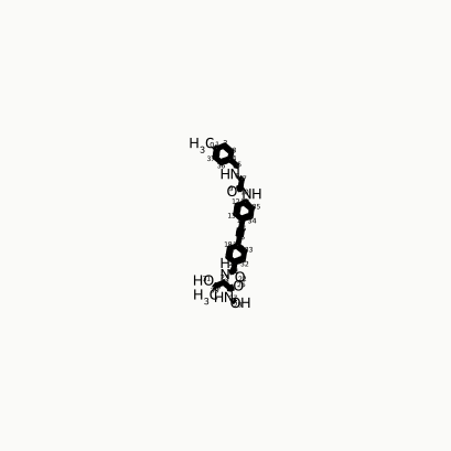 Cc1ccc(CNCC(=O)Nc2ccc(C#Cc3ccc(C(=O)N[C@H](C(=O)NO)[C@@H](C)O)cc3)cc2)cc1